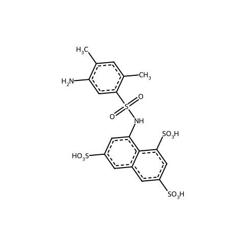 Cc1cc(C)c(S(=O)(=O)Nc2cc(S(=O)(=O)O)cc3cc(S(=O)(=O)O)cc(S(=O)(=O)O)c23)cc1N